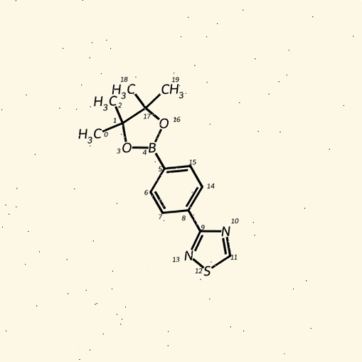 CC1(C)OB(c2ccc(-c3ncsn3)cc2)OC1(C)C